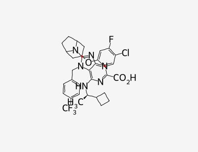 C[C@@H](Nc1nc(C(=O)O)nc2nc(N3C4CCC3CC(Oc3ccc(Cl)c(F)c3)C4)n(Cc3ccc(C(F)(F)F)cc3)c12)C1CCC1